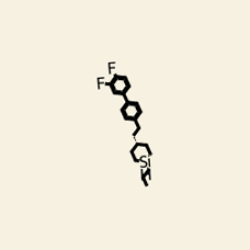 CCC[Si@H]1CC[C@H](CCc2ccc(-c3ccc(F)c(F)c3)cc2)CC1